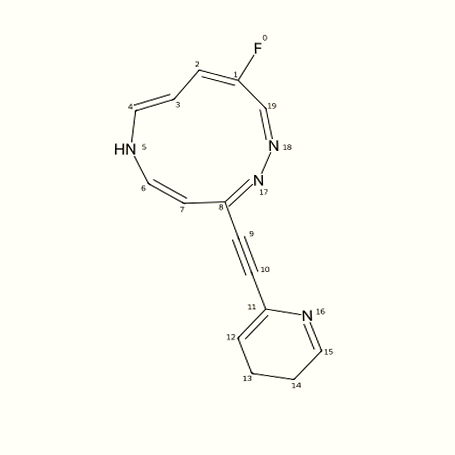 FC1=C/C=C/N/C=C\C(C#CC2=CCCC=N2)=N/N=C\1